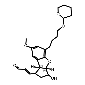 COc1cc(CCCCOC2CCCCO2)c2c(c1)[C@H]1C(C=CC=O)CC(O)[C@H]1O2